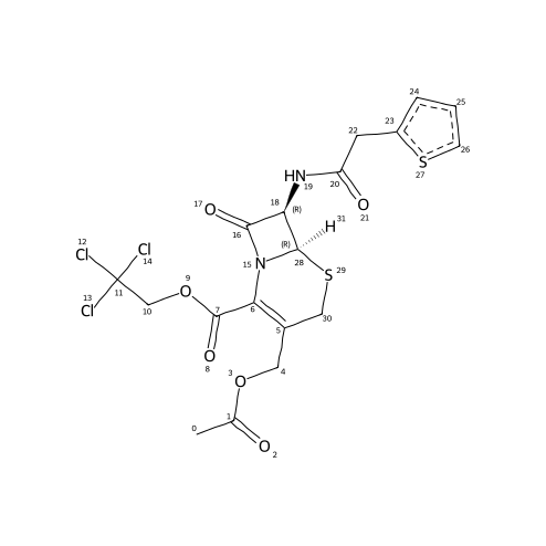 CC(=O)OCC1=C(C(=O)OCC(Cl)(Cl)Cl)N2C(=O)[C@@H](NC(=O)Cc3cccs3)[C@H]2SC1